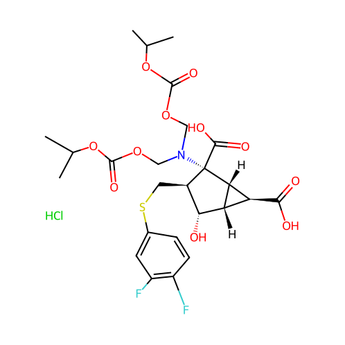 CC(C)OC(=O)OCN(COC(=O)OC(C)C)[C@]1(C(=O)O)[C@@H]2[C@@H](C(=O)O)[C@@H]2[C@H](O)[C@H]1CSc1ccc(F)c(F)c1.Cl